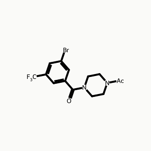 CC(=O)N1CCN(C(=O)c2cc(Br)cc(C(F)(F)F)c2)CC1